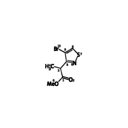 COC(=O)C(C)c1nscc1Br